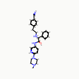 CN1CCN(c2ccc(NC(=O)[C@@H](NCCc3ccc(C#N)cc3)c3ccccc3)cn2)CC1